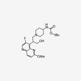 COc1ccc2ncc(F)c(C(CO)CN3CCC(NC(=O)OC(C)(C)C)CC3)c2n1